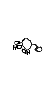 O=C1/C=C\CCC(Cc2ccccc2)CCC(O)C1O